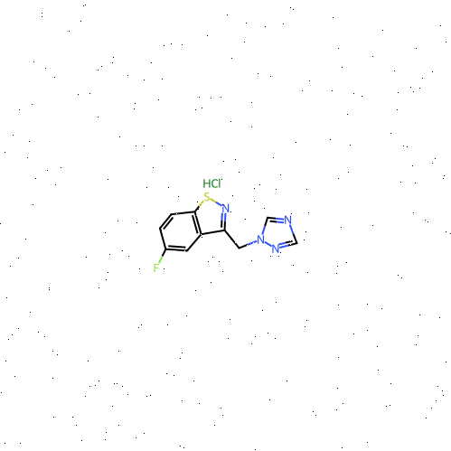 Cl.Fc1ccc2snc(Cn3cncn3)c2c1